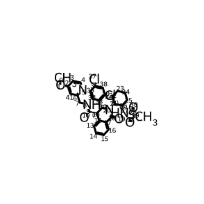 COc1ccnc(CNC(=O)[C@@H]2c3ccccc3C(=O)N([C@H]3CCCC[C@@H]3NS(C)(=O)=O)[C@H]2c2ccc(Cl)cc2Cl)c1